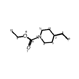 [CH2]CC1CCN(C(=O)OCC)CC1